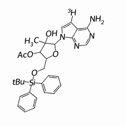 [3H]c1cn(C2OC(CO[Si](c3ccccc3)(c3ccccc3)C(C)(C)C)C(OC(C)=O)C2(C)O)c2ncnc(N)c12